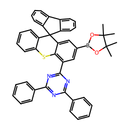 CC1(C)OB(c2cc(-c3nc(-c4ccccc4)nc(-c4ccccc4)n3)c3c(c2)C2(c4ccccc4S3)c3ccccc3-c3ccccc32)OC1(C)C